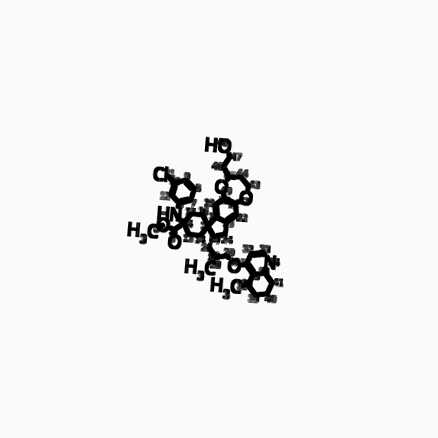 COC(=O)C1(Nc2cccc(Cl)c2)CCC2(CC1)c1cc3c(cc1C[C@@H]2C[C@@H](C)COc1ccnc2c1[C@H](C)CCC2)OCCC(CCO)O3